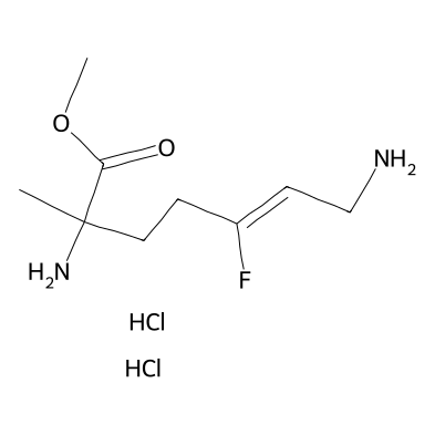 COC(=O)C(C)(N)CC/C(F)=C/CN.Cl.Cl